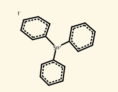 [I-].c1cc[c]([Sn+]([c]2ccccc2)[c]2ccccc2)cc1